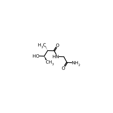 C[C@H](C(=O)NCC(N)=O)[C@@H](C)O